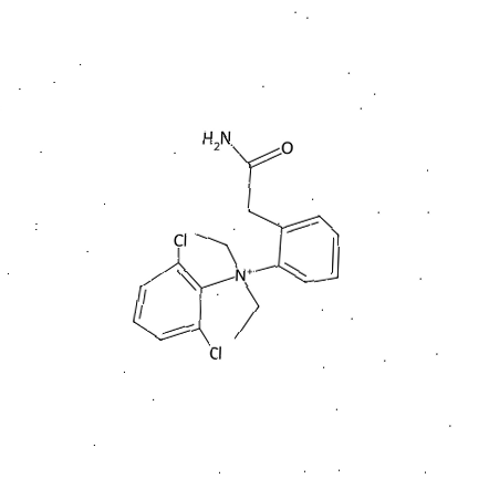 CC[N+](CC)(c1ccccc1CC(N)=O)c1c(Cl)cccc1Cl